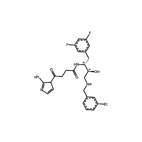 CCCC1=NC=CC1C(=O)CCC(=O)N[C@H](Cc1cc(F)cc(F)c1)[C@@H](O)CNCc1cccc(CC)c1